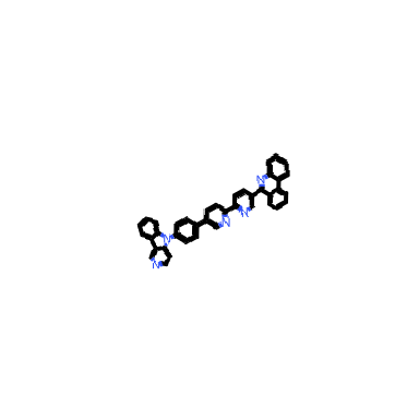 c1ccc2c(c1)nc(-c1ccc(-c3ccc(-c4ccc(-n5c6ccccc6c6cnccc65)cc4)cn3)nc1)c1ccccc12